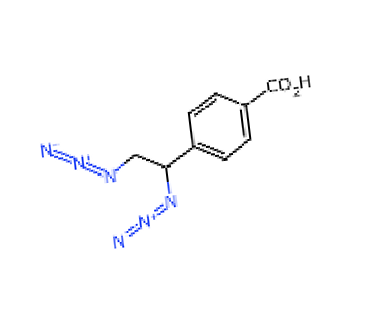 [N-]=[N+]=NCC(N=[N+]=[N-])c1ccc(C(=O)O)cc1